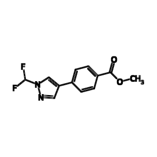 COC(=O)c1ccc(-c2cnn(C(F)F)c2)cc1